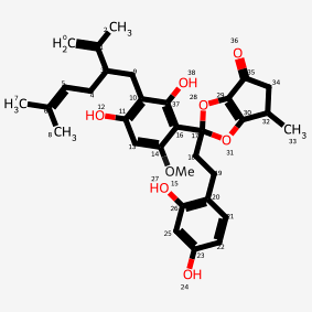 C=C(C)C(CC=C(C)C)Cc1c(O)cc(OC)c(C2(CCc3ccc(O)cc3O)OC3=C(O2)C(C)CC3=O)c1O